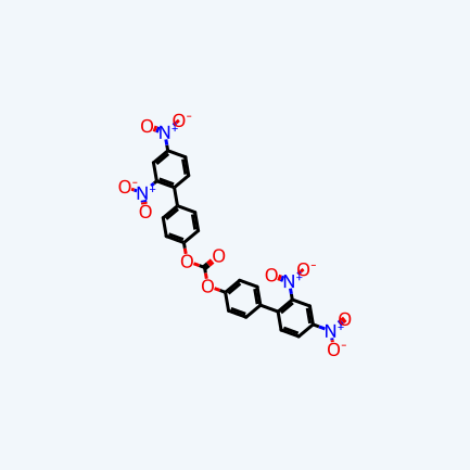 O=C(Oc1ccc(-c2ccc([N+](=O)[O-])cc2[N+](=O)[O-])cc1)Oc1ccc(-c2ccc([N+](=O)[O-])cc2[N+](=O)[O-])cc1